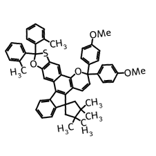 COc1ccc(C2(c3ccc(OC)cc3)C=Cc3c4c(c5cc6c(cc5c3O2)SC(c2ccccc2C)(c2ccccc2C)O6)-c2ccccc2C42CC(C)(C)C(C)(C)C2)cc1